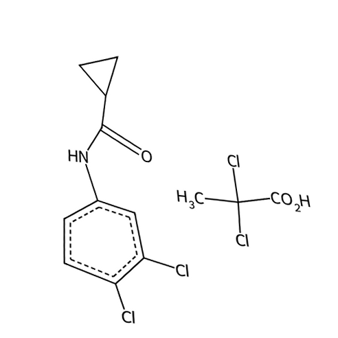 CC(Cl)(Cl)C(=O)O.O=C(Nc1ccc(Cl)c(Cl)c1)C1CC1